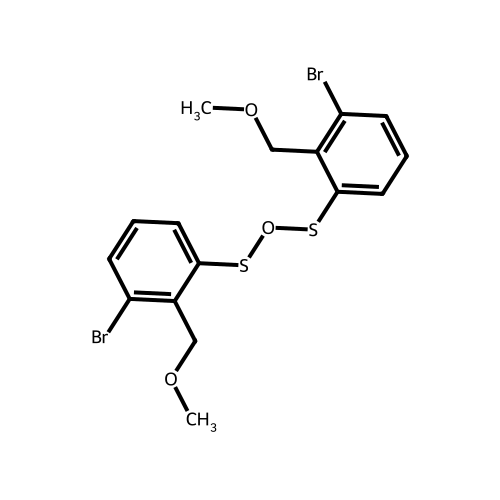 COCc1c(Br)cccc1SOSc1cccc(Br)c1COC